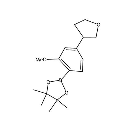 COc1cc(C2CCOC2)ccc1B1OC(C)(C)C(C)(C)O1